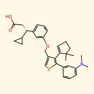 CN(C)c1cccc(-c2scc(COc3cccc([C@@H](CC(=O)O)C4CC4)c3)c2C2=CCCC2(C)C)c1